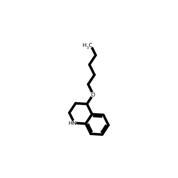 CCCCCOC1CCNc2ccccc21